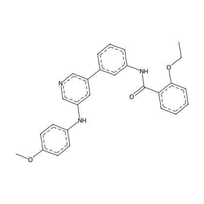 CCOc1ccccc1C(=O)Nc1cccc(-c2cncc(Nc3ccc(OC)cc3)c2)c1